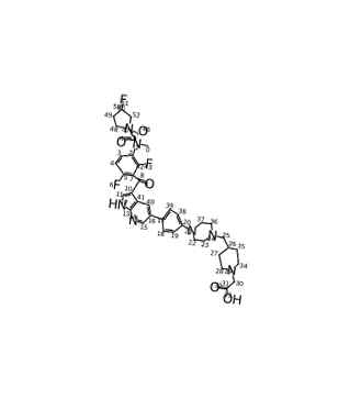 CN(c1ccc(F)c(C(=O)c2c[nH]c3ncc(-c4ccc(N5CCN(CC6CCN(CC(=O)O)CC6)CC5)cc4)cc23)c1F)S(=O)(=O)N1CC[C@@H](F)C1